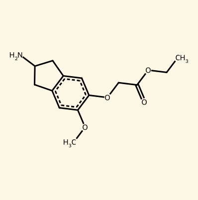 CCOC(=O)COc1cc2c(cc1OC)CC(N)C2